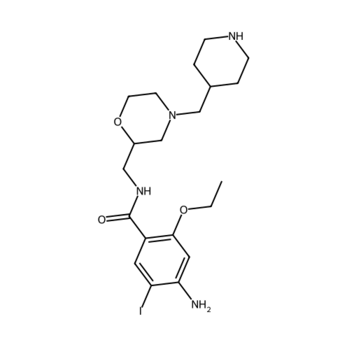 CCOc1cc(N)c(I)cc1C(=O)NCC1CN(CC2CCNCC2)CCO1